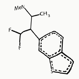 CNC(C)C(c1ccc2ccsc2c1)C(F)F